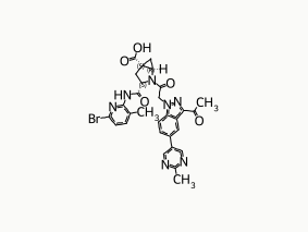 CC(=O)c1nn(CC(=O)N2[C@H](C(=O)Nc3nc(Br)ccc3C)C[C@@]3(C(=O)O)C[C@@H]23)c2ccc(-c3cnc(C)nc3)cc12